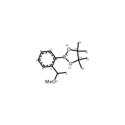 COC(C)c1ccccc1B1OC(C)(C)C(C)(C)O1